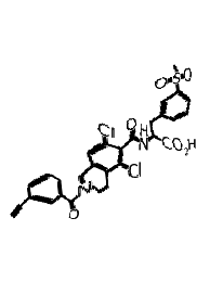 C#Cc1cccc(C(=O)N2CCc3c(cc(Cl)c(C(=O)NC(Cc4cccc(S(C)(=O)=O)c4)C(=O)O)c3Cl)C2)c1